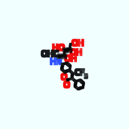 O=C[C@H](Nc1ccc2c(C(F)(F)F)c(-c3ccccc3)c(=O)oc2c1)[C@@H](O)[C@H](O)[C@H](O)CO